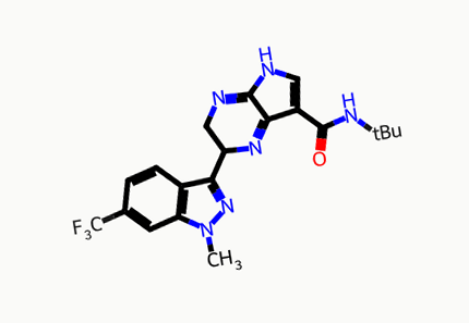 Cn1nc(C2CN=c3[nH]cc(C(=O)NC(C)(C)C)c3=N2)c2ccc(C(F)(F)F)cc21